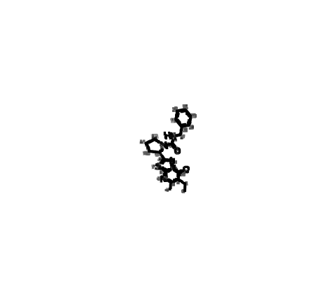 CCc1c(C)nc2sc([C@H]3CCCN3C(=O)NCc3ccccc3)nn2c1=O